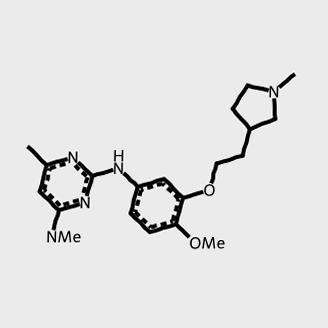 CNc1cc(C)nc(Nc2ccc(OC)c(OCCC3CCN(C)C3)c2)n1